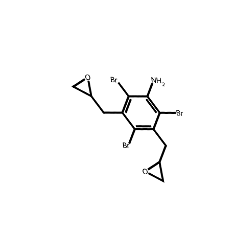 Nc1c(Br)c(CC2CO2)c(Br)c(CC2CO2)c1Br